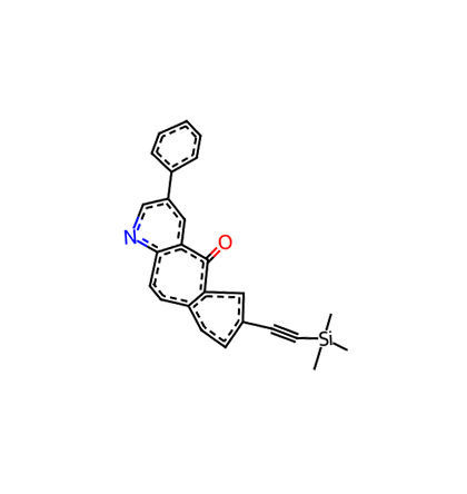 C[Si](C)(C)C#Cc1ccc2ccc3ncc(-c4ccccc4)cc3c(=O)c2c1